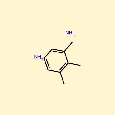 Cc1cccc(C)c1C.N.N